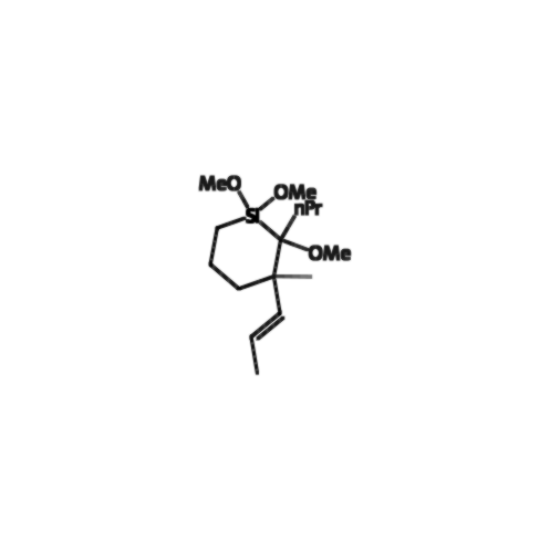 CC=CC1(C)CCC[Si](OC)(OC)C1(CCC)OC